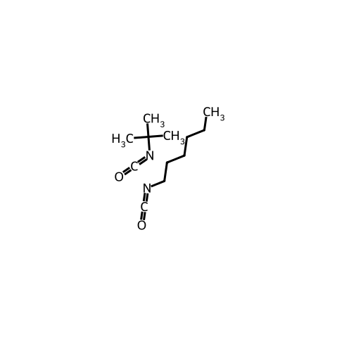 CC(C)(C)N=C=O.CCCCCCN=C=O